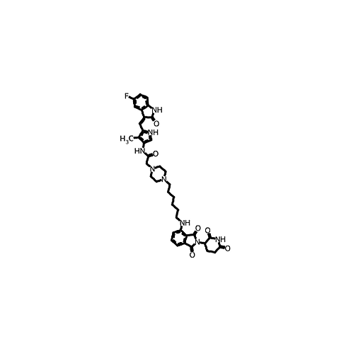 Cc1c(NC(=O)CN2CCN(CCCCCCNc3cccc4c3C(=O)N(C3CCC(=O)NC3=O)C4=O)CC2)c[nH]c1/C=C1\C(=O)Nc2ccc(F)cc21